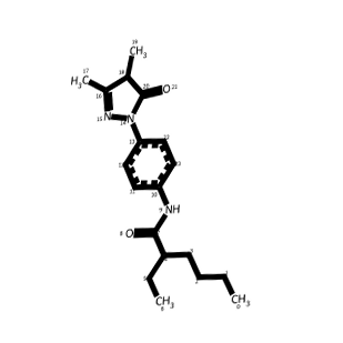 CCCCC(CC)C(=O)Nc1ccc(N2N=C(C)C(C)C2=O)cc1